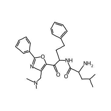 CC(C)CC(N)C(=O)NC(CCc1ccccc1)C(=O)c1oc(-c2ccccc2)nc1CN(C)C